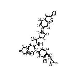 O=C(N[C@H](CN1CCCC1)[C@H](O)c1ccc(OC2CC2)c(Cl)c1)[C@@H]1CCN(c2ccc3cc(Cl)sc3c2)C1